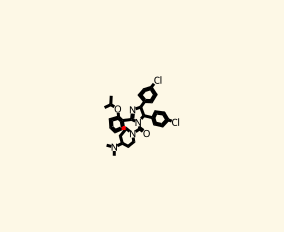 CC(C)Oc1ccccc1C1=NC(c2ccc(Cl)cc2)C(c2ccc(Cl)cc2)N1C(=O)N1CCC(N(C)C)CC1